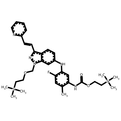 Cc1cc(F)c(Nc2ccc3c(C=Cc4ccccn4)nn(COCC[Si](C)(C)C)c3c2)cc1NC(=O)OCC[Si](C)(C)C